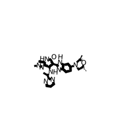 CC(Nc1c(-c2nc3ccc(N4C[C@@H](C)O[C@H](C)C4)cc3[nH]2)c(=O)[nH]c2cn(C)nc12)c1ncccn1